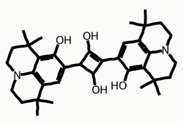 CC1(C)CCN2CCC(C)(C)c3c(O)c(C4=C(O)C(c5cc6c7c(c5O)C(C)(C)CCN7CCC6(C)C)C4O)cc1c32